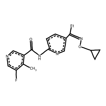 CC/C(=N/OC1CC1)c1ccc(NC(=O)c2cncc(F)c2C)nc1